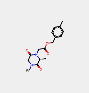 Cc1ccc(COC(=O)CN2C(=O)CN(C(C)C)C(=O)[C@@H]2C)cc1